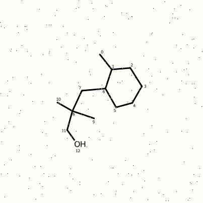 CC1CCCCC1CC(C)(C)CO